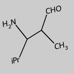 CC(C)C(N)C(C)C=O